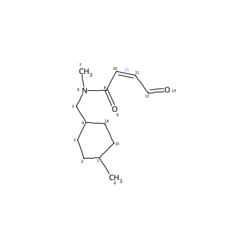 CC1CCC(CN(C)C(=O)/C=C\C=O)CC1